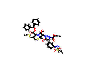 CCSCC1=C(C(=O)OC(c2ccccc2)c2ccccc2)N2C(=O)C(NC(=O)[C@H](NC(=O)OC(C)(C)C)c3cccc(NS(C)(=O)=O)c3)[C@@H]2SC1